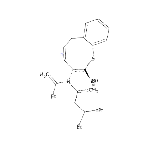 C=C(CC)N(C(=C)CC(CC)CCC)C1=C([C@H](C)CC)Sc2ccccc2C/C=C\1